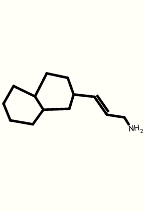 NCC=CC1CCC2CCCCC2C1